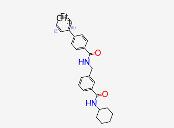 C/C=C\C(=C/CC)c1ccc(C(=O)NCc2cccc(C(=O)NC3CCCCC3)c2)cc1